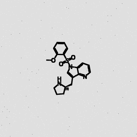 COc1ccccc1S(=O)(=O)n1cc(C[C@H]2CCCN2)c2ncccc21